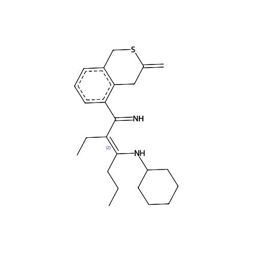 C=C1Cc2c(cccc2C(=N)/C(CC)=C(/CCC)NC2CCCCC2)CS1